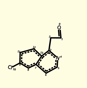 O=CCc1nccc2cc(Cl)ccc12